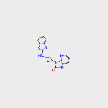 O=c1[nH]c2cncnc2n1C1CC(Nc2nc3ccccc3s2)C1